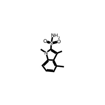 Cc1cccc2c1c(C)c(S(N)(=O)=O)n2C